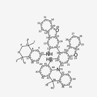 CC1(C)CCC(C)(C)c2cc(Nc3cc4c(cc3-c3c5c(cc6oc7ccccc7c36)N3c6ccccc6C(C)(C)c6cccc(c63)B5)oc3ccccc34)ccc21